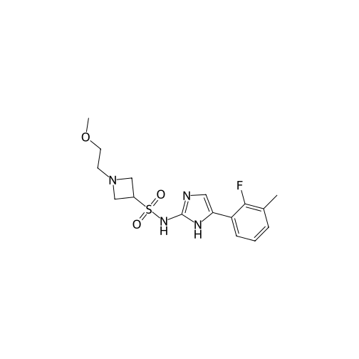 COCCN1CC(S(=O)(=O)Nc2ncc(-c3cccc(C)c3F)[nH]2)C1